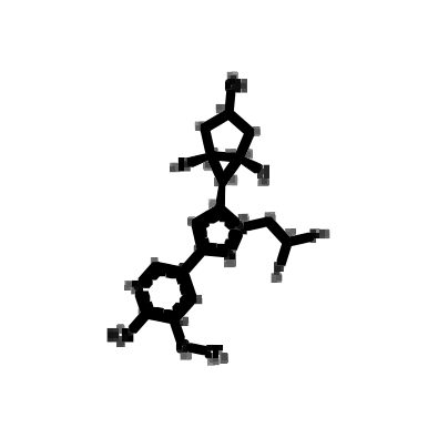 Nc1ncc(-c2cc([C@H]3[C@@H]4CC(O)C[C@@H]43)n(CC(F)F)n2)cc1OC(F)(F)F